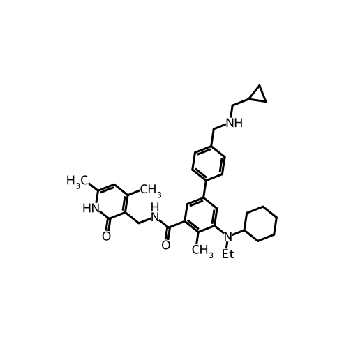 CCN(c1cc(-c2ccc(CNCC3CC3)cc2)cc(C(=O)NCc2c(C)cc(C)[nH]c2=O)c1C)C1CCCCC1